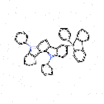 c1ccc(-n2c3ccccc3c3c2ccc2c4cc([Si]5(c6ccccc6)c6ccccc6-c6ccccc65)ccc4n(-c4ccccc4)c23)cc1